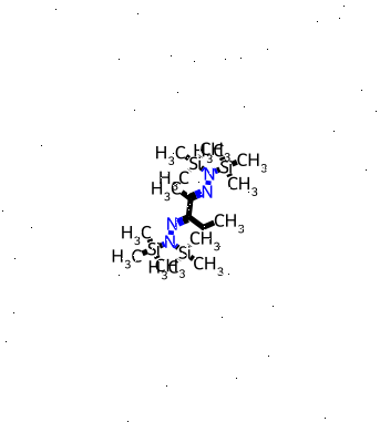 CCC(=N\N([Si](C)(C)C)[Si](C)(C)C)/C(C)=N/N([Si](C)(C)C)[Si](C)(C)C